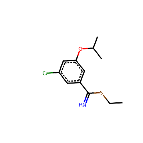 CCSC(=N)c1cc(Cl)cc(OC(C)C)c1